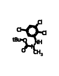 CN(Nc1cc(Cl)cc(Cl)c1Cl)C(=O)OC(C)(C)C